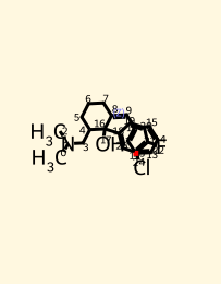 CN(C)CC1CCC/C(=C/c2ccccc2)C1(O)c1ccc(F)c(Cl)c1